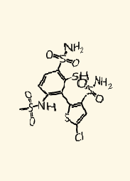 CS(=O)(=O)Nc1ccc(S(N)(=O)=O)c(S)c1-c1sc(Cl)cc1S(N)(=O)=O